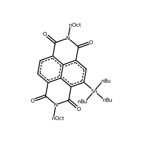 CCCCCCCCN1C(=O)c2ccc3c4c([c]([Sn]([CH2]CCC)([CH2]CCC)[CH2]CCC)cc(c24)C1=O)C(=O)N(CCCCCCCC)C3=O